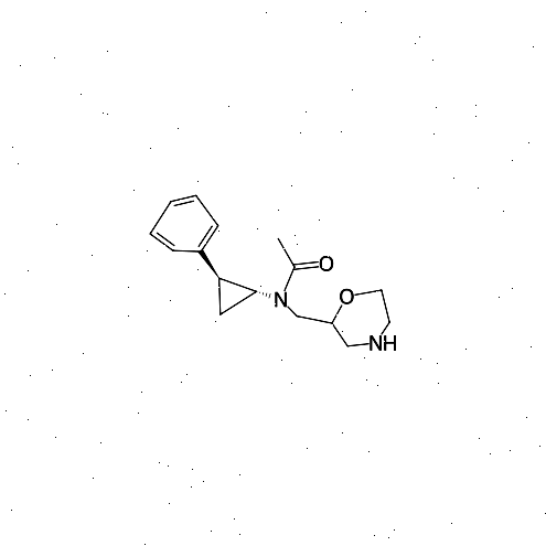 CC(=O)N(CC1CNCCO1)[C@@H]1C[C@H]1c1ccccc1